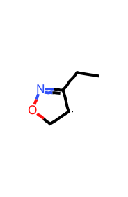 CCC1=NOC[CH]1